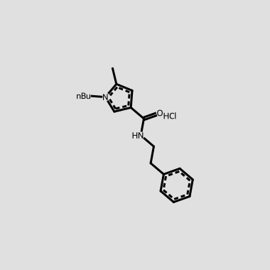 CCCCn1cc(C(=O)NCCc2ccccc2)cc1C.Cl